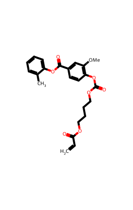 C=CC(=O)OCCCCOC(=O)Oc1ccc(C(=O)Oc2ccccc2C)cc1OC